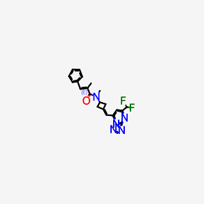 C/C(=C\c1ccccc1)C(=O)N(C)C1CC(=Cc2cc(C(F)F)nc3ncnn23)C1